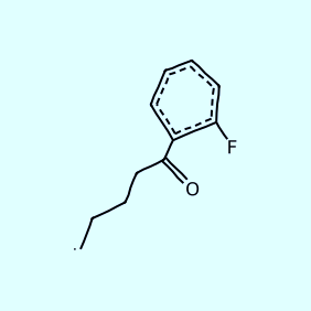 [CH2]CCCC(=O)c1ccccc1F